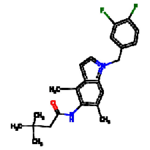 Cc1cc2c(ccn2Cc2ccc(F)c(F)c2)c(C)c1NC(=O)CC(C)(C)C